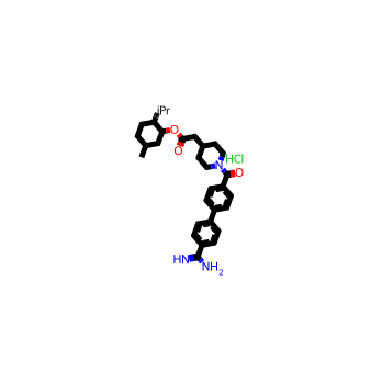 CC1CCC(C(C)C)C(OC(=O)CC2CCN(C(=O)c3ccc(-c4ccc(C(=N)N)cc4)cc3)CC2)C1.Cl